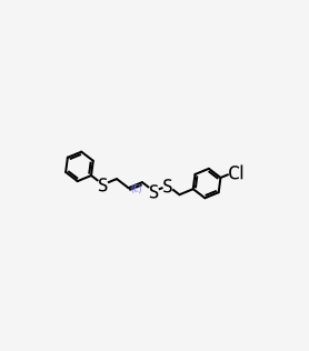 Clc1ccc(CSS/C=C/CSc2ccccc2)cc1